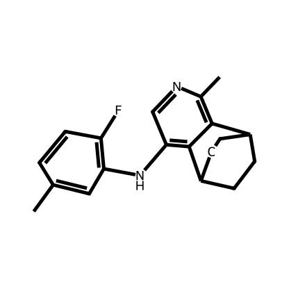 Cc1ccc(F)c(Nc2cnc(C)c3c2C2CCC3CC2)c1